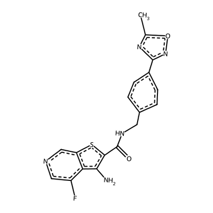 Cc1nc(-c2ccc(CNC(=O)c3sc4cncc(F)c4c3N)cc2)no1